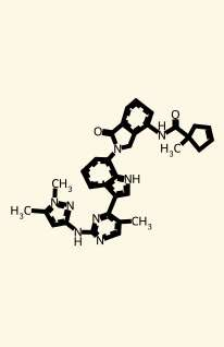 Cc1cnc(Nc2cc(C)n(C)n2)nc1-c1c[nH]c2c(N3Cc4c(NC(=O)C5(C)CC=CC5)cccc4C3=O)cccc12